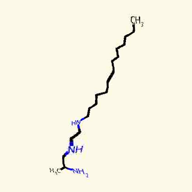 CCCCCCCCCCCCCCNCCNCC(C)N